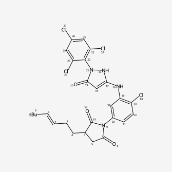 CCCCC=CCCC1CC(=O)N(c2ccc(Cl)c(Nc3cc(=O)n(-c4c(Cl)cc(Cl)cc4Cl)[nH]3)c2)C1=O